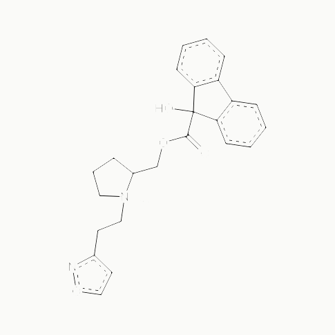 C[N@+]1(CCc2ccon2)CCCC1COC(=O)C1(O)c2ccccc2-c2ccccc21